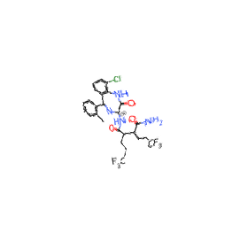 Cc1ccccc1C1=N[C@H](NC(=O)C(CCC(F)(F)F)C(CCC(F)(F)F)C(N)=O)C(=O)Nc2c(Cl)cccc21